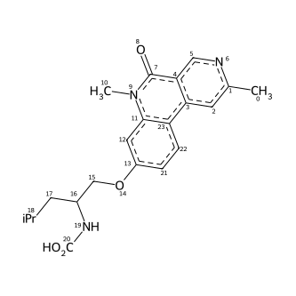 Cc1cc2c(cn1)c(=O)n(C)c1cc(OCC(CC(C)C)NC(=O)O)ccc21